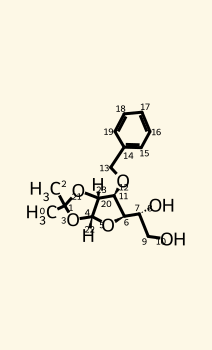 CC1(C)O[C@H]2O[C@H]([C@H](O)CO)[C@H](OCc3ccccc3)[C@H]2O1